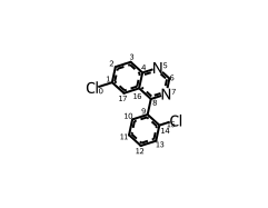 Clc1ccc2ncnc(-c3ccccc3Cl)c2c1